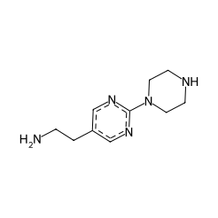 NCCc1cnc(N2CCNCC2)nc1